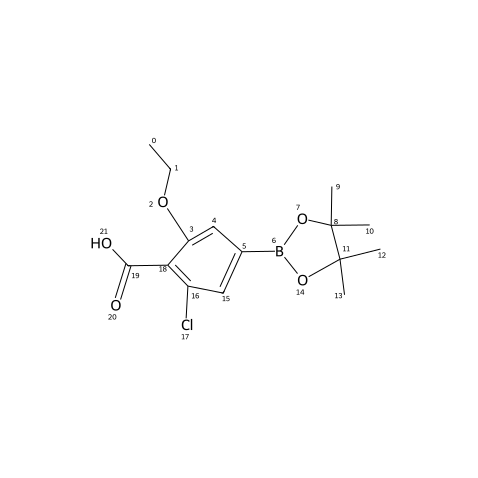 CCOc1cc(B2OC(C)(C)C(C)(C)O2)cc(Cl)c1C(=O)O